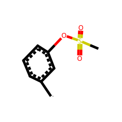 [CH2]c1cccc(OS(C)(=O)=O)c1